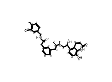 Cc1ccc(CNC(=O)Cc2cccc(C[C@@H](C)NC[C@@H](O)c3ccc(O)c4[nH]c(=O)ccc34)c2)cc1Cl